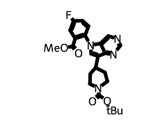 COC(=O)c1cc(F)ccc1-n1cc(C2CCN(C(=O)OC(C)(C)C)CC2)c2ncncc21